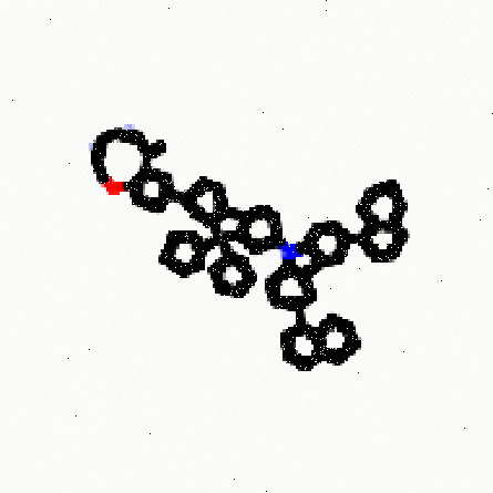 C=C1/C=C\C=C/COc2ccc(-c3ccc4c(c3)[Si](c3ccccc3)(c3ccccc3)c3cc(-n5c6ccc(-c7cccc8ccccc78)cc6c6cc(-c7cccc8ccccc78)ccc65)ccc3-4)cc21